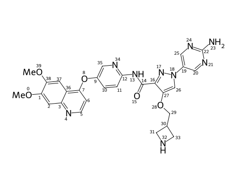 COc1cc2nccc(Oc3ccc(NC(=O)c4nn(-c5cnc(N)nc5)cc4OCC4CNC4)nc3)c2cc1OC